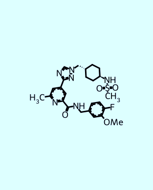 COc1cc(CNC(=O)c2cc(-c3ncn(C[C@H]4CC[C@H](NS(C)(=O)=O)CC4)n3)cc(C)n2)ccc1F